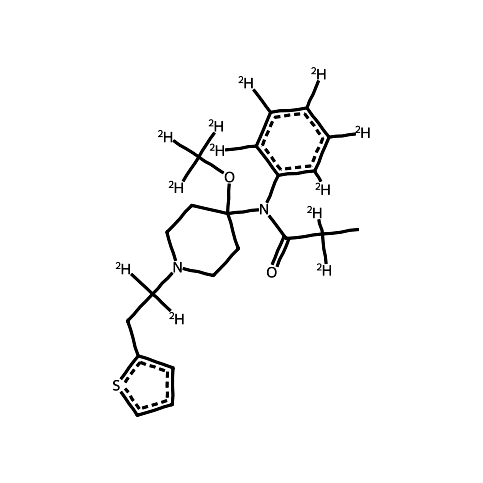 [2H]c1c([2H])c([2H])c(N(C(=O)C([2H])([2H])C)C2(OC([2H])([2H])[2H])CCN(C([2H])([2H])Cc3cccs3)CC2)c([2H])c1[2H]